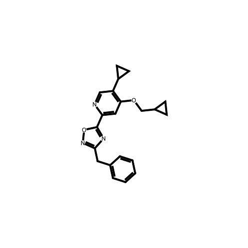 c1ccc(Cc2noc(-c3cc(OCC4CC4)c(C4CC4)cn3)n2)cc1